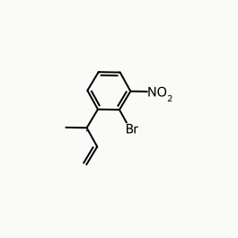 C=C[C](C)c1cccc([N+](=O)[O-])c1Br